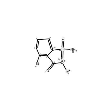 CCCOC(=O)c1c(CC)cccc1S(N)(=O)=O